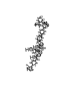 Cc1ncsc1-c1ccc(C(C)NC(=O)[C@@H]2C[C@@H](O)CN2C(=O)C(NC(=O)CN2CCN(c3ccc(-c4cnnc(-c5ccccc5C(F)F)c4)cc3)CC2)C(C)(C)C)cc1